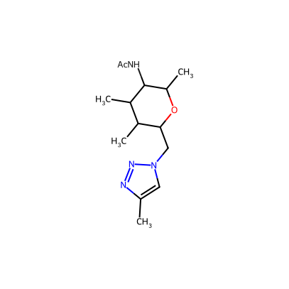 CC(=O)NC1C(C)OC(Cn2cc(C)nn2)C(C)C1C